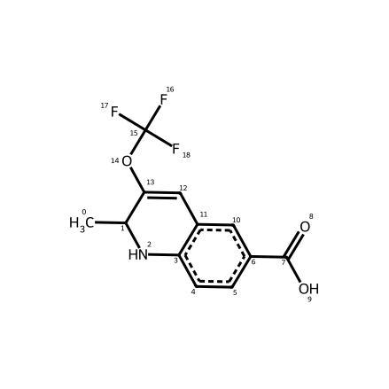 CC1Nc2ccc(C(=O)O)cc2C=C1OC(F)(F)F